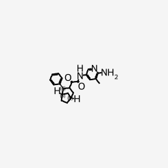 Cc1cc(NC(=O)C(=O)C2C[C@@H]3CC[C@@H](C3)[C@H]2c2ccccc2)cnc1N